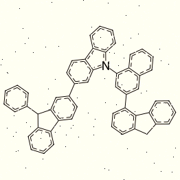 c1ccc(C2c3ccccc3-c3ccc(-c4ccc5c6ccccc6n(-c6cc(-c7cccc8c7-c7ccccc7C8)cc7ccccc67)c5c4)cc32)cc1